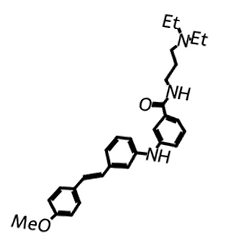 CCN(CC)CCCNC(=O)c1cccc(Nc2cccc(C=Cc3ccc(OC)cc3)c2)c1